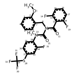 COc1ccccc1CN(C(=O)c1c(F)cccc1F)C(=O)N(C)c1ccc(SC(F)(F)F)cc1F